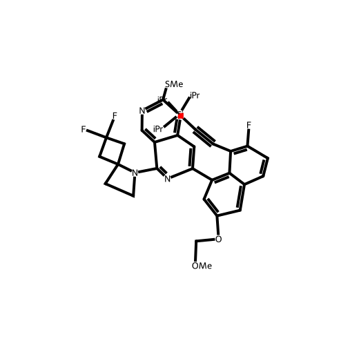 COCOc1cc(-c2cc3nc(SC)ncc3c(N3CCC34CC(F)(F)C4)n2)c2c(C#C[Si](C(C)C)(C(C)C)C(C)C)c(F)ccc2c1